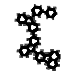 c1ccc(-c2cccc(-n3c4ccccc4c4cc(-c5ccc6c(c5)c5ccccc5n6-c5ccc6c(c5)-c5ccnc7cccc-6c57)ccc43)c2)cc1